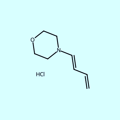 C=CC=CN1CCOCC1.Cl